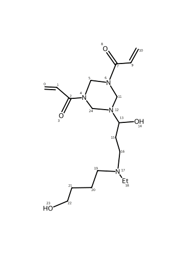 C=CC(=O)N1CN(C(=O)C=C)CN(C(O)CCN(CC)CCCCO)C1